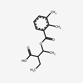 CCC(C(=O)O)C(C)OC(=O)c1cccc(C)c1C